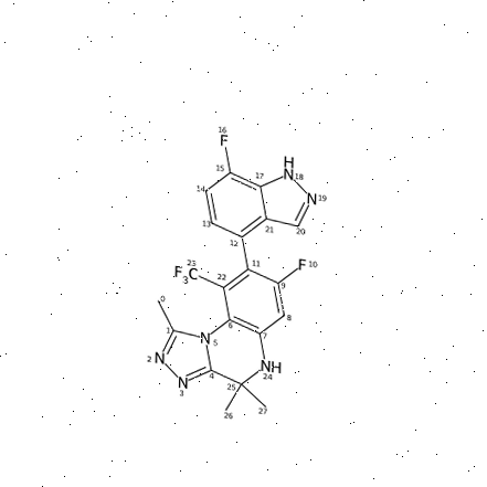 Cc1nnc2n1-c1c(cc(F)c(-c3ccc(F)c4[nH]ncc34)c1C(F)(F)F)NC2(C)C